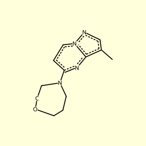 Cc1cnn2ccc(N3CCCOCC3)nc12